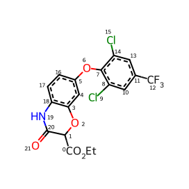 CCOC(=O)C1Oc2cc(Oc3c(Cl)cc(C(F)(F)F)cc3Cl)ccc2NC1=O